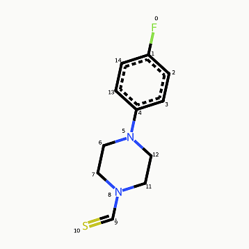 Fc1ccc(N2CCN([C]=S)CC2)cc1